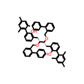 Cc1cc(C)c(-c2cccc(C[C@@H](OCc3ccccc3-c3ccccc3)[C@@H](Cc3cccc(-c4c(C)cc(C)cc4C)c3O)OCc3ccccc3-c3ccccc3)c2O)c(C)c1